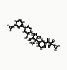 CC(C)(C(=O)Nc1ccc(-c2cncc(C3CC3)n2)cc1F)c1ccnc(NS(=O)(=O)C2CC2)n1